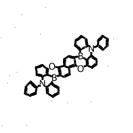 c1ccc(N2c3ccccc3B3c4ccc5c6c(ccc5c4Oc4cccc2c43)B2c3ccccc3N(c3ccccc3)c3cccc(c32)O6)cc1